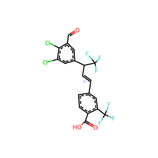 O=Cc1cc(C(/C=C/c2ccc(C(=O)O)c(C(F)(F)F)c2)C(F)(F)F)cc(Cl)c1Cl